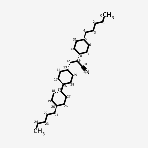 CCCCC[C@H]1CC[C@H](C(C#N)C[C@H]2CC[C@H]([C@H]3CC[C@H](CCCCC)CC3)CC2)CC1